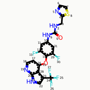 O=C(NCc1nccs1)Nc1cc(F)c(Oc2ccnc3[nH]cc(C(F)(F)F)c23)c(F)c1